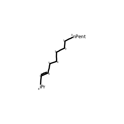 CCCCCCCCCC/C=C/C(C)C